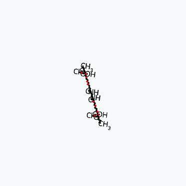 CCCCCC(OC(=O)CCl)C(O)CC=CCCCCCCCC(=O)NCCCNC(=O)CCCCCCCC=CCC(O)C(CCCCC)OC(=O)CCl